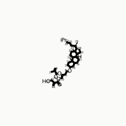 C=C(C)C(=O)OC(CCO[C@H]1CC[C@@]2(C)C(CC[C@@H]3C2CC[C@@]2(C)C3CC[C@@H]2[C@H](C)CCCC(C)C)C1)COC(=O)C(=C)CO